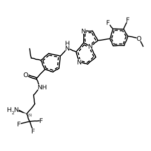 CCc1cc(Nc2nccn3c(-c4ccc(OC)c(F)c4F)cnc23)ccc1C(=O)NCC[C@H](N)C(F)(F)F